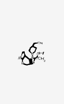 C[C@H](O)c1nc2cnc3[nH]ccc3c2n1N1CCC(CC#N)CC1